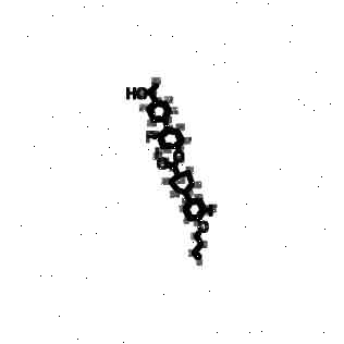 C=CCCOc1ccc(C2CCC(C(=O)Oc3ccc(-c4ccc(C(C)O)cc4)c(F)c3F)CC2)cc1F